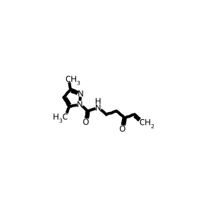 C=CC(=O)CCNC(=O)n1nc(C)cc1C